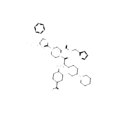 C[C@@H]1N=C(N2CCN(C(=O)[C@H](NC3CCC(C(N)=O)CC3)[C@H]3CC[C@H](N4CCCCC4)CC3)[C@H](C(=O)NCc3cccs3)C2)O[C@H]1c1ccccc1